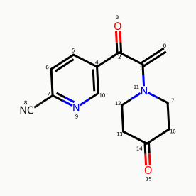 C=C(C(=O)c1ccc(C#N)nc1)N1CCC(=O)CC1